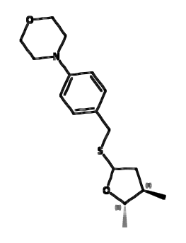 C[C@@H]1CC(SCc2ccc(N3CCOCC3)cc2)O[C@H]1C